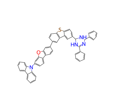 c1ccc(C2=NC(c3ccccc3)NC(c3ccc4sc5ccc(-c6ccc7c(c6)oc6cc(-n8c9ccccc9c9ccccc98)ccc67)cc5c4c3)N2)cc1